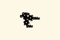 COC(=O)c1cc(-c2ccc(SC)cc2)n(-c2ccc(OC)cc2)n1